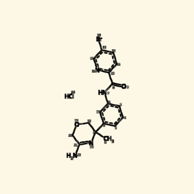 CC1(c2cccc(NC(=O)c3ccc(Br)cn3)c2)COCC(N)=N1.Cl